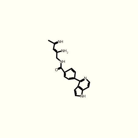 CC(=N)/C=C(\N)CNC(=O)c1ccc(-c2nccc3[nH]ccc23)cc1